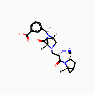 C[C@@H](c1cccc(C(=O)O)c1)N1C(=O)[C@@H]2C[C@H]1CN2C[C@H](N)C(=O)N1[C@H](C#N)CC2C[C@@H]21